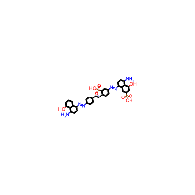 Nc1ccc(N=Nc2ccc(/C=C/c3ccc(N=Nc4ccc(N)c5c(O)cc(S(=O)(=O)O)cc45)cc3S(=O)(=O)O)cc2)c2cccc(O)c12